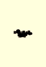 C=C(CN(C)CC(=O)OCC)C(=O)Nc1ccc2ncnc(Nc3cccc(Br)c3)c2c1